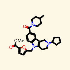 COC(=O)c1ccc(Cn2c3c(c4cc(C(=O)N5CCC(C)CC5)ccc42)CN(C2CCCC2)CC3)o1